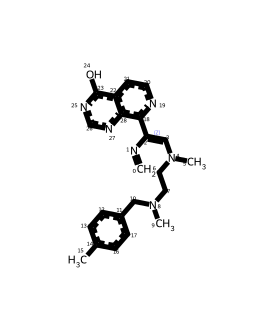 C=N/C(=C\N(C)CCN(C)Cc1ccc(C)cc1)c1nccc2c(O)ncnc12